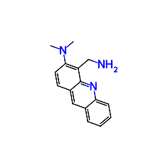 CN(C)c1ccc2cc3ccccc3nc2c1CN